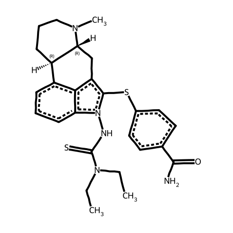 CCN(CC)C(=S)Nn1c(Sc2ccc(C(N)=O)cc2)c2c3c(cccc31)[C@H]1CCCN(C)[C@@H]1C2